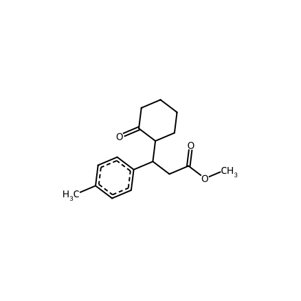 COC(=O)CC(c1ccc(C)cc1)C1CCCCC1=O